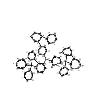 c1ccc(-c2ccccc2-c2ccc(N(c3ccc(C4(c5ccccc5)c5ccccc5-c5ccccc54)cc3)c3cccc4c3-c3ccccc3C4(c3ccccc3)c3ccccc3)cc2)cc1